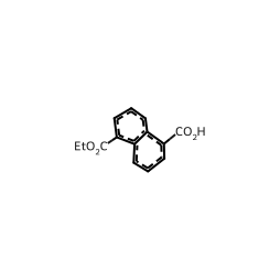 CCOC(=O)c1cccc2c(C(=O)O)cccc12